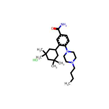 CCCCN1CCN(c2ccc(C(N)=O)cc2C2CC(C)(C)CC(C)(C)C2)CC1.Cl